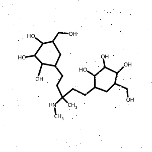 CNC(C)(CCC1CC(CO)C(O)C(O)C1O)CCC1CC(CO)C(O)C(O)C1O